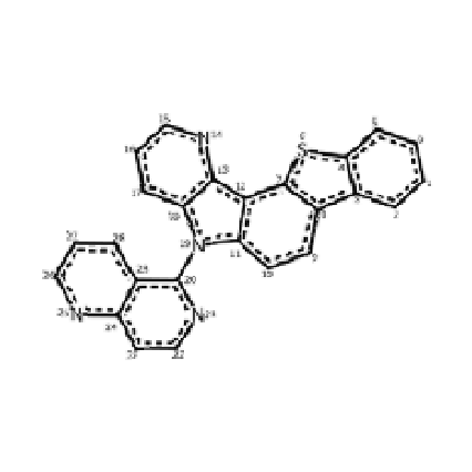 c1ccc2c(c1)sc1c2ccc2c1c1ncccc1n2-c1nccc2ncccc12